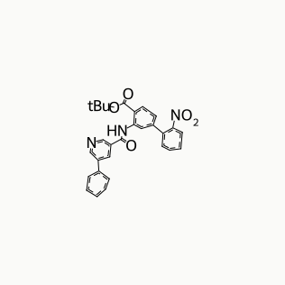 CC(C)(C)OC(=O)c1ccc(-c2ccccc2[N+](=O)[O-])cc1NC(=O)c1cncc(-c2ccccc2)c1